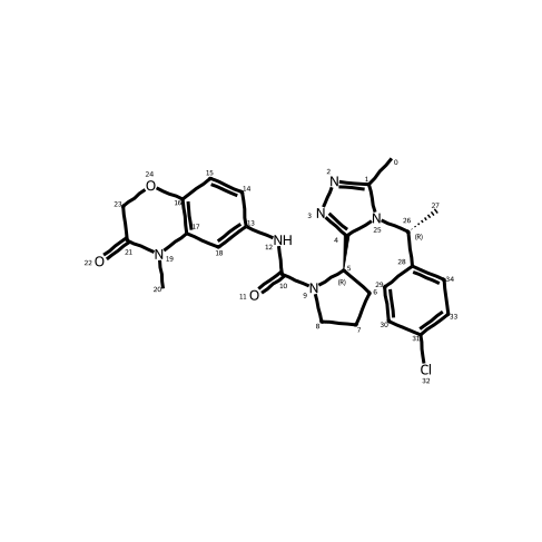 Cc1nnc([C@H]2CCCN2C(=O)Nc2ccc3c(c2)N(C)C(=O)CO3)n1[C@H](C)c1ccc(Cl)cc1